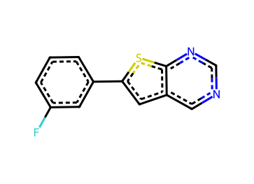 Fc1cccc(-c2cc3cncnc3s2)c1